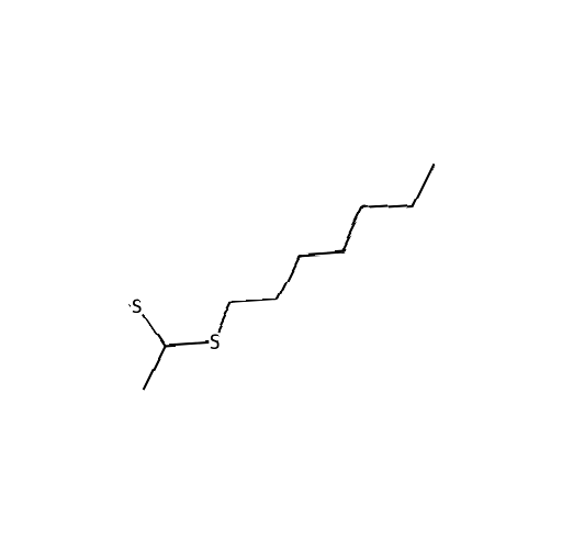 CCCCCCCSC(C)[S]